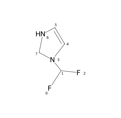 FC(F)N1C=CNC1